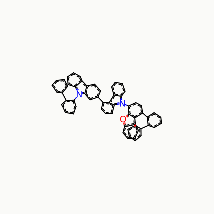 c1ccc(-c2ccccc2-c2ccc(-n3c4ccccc4c4c(-c5ccc6c7ccccc7n(-c7ccccc7-c7ccccc7)c6c5)cccc43)c3oc4ccccc4c23)cc1